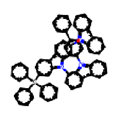 c1ccc(-c2ccc(-n3c4ccccc4c4cccc(-n5c6cc(-n7c8ccccc8c8ccccc87)ccc6c6ccc([Si](c7ccccc7)(c7ccccc7)c7ccccc7)cc65)c43)cc2)cc1